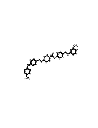 Cc1ccc(Oc2ccc(OCC3CCN(C(=O)Oc4ccc(CCc5cccc(C)n5)cc4)CC3)cc2)nc1